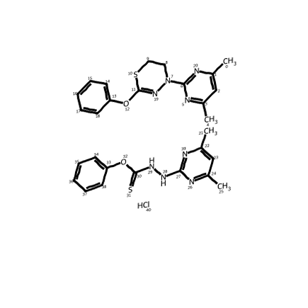 Cc1cc(C)nc(N2CCSC(Oc3ccccc3)=N2)n1.Cc1cc(C)nc(NNC(=S)Oc2ccccc2)n1.Cl